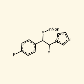 CCCCCCCCCSC(c1ccc(F)cc1)C(F)n1ccnc1